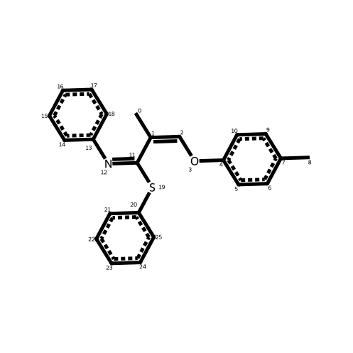 CC(=COc1ccc(C)cc1)C(=Nc1ccccc1)Sc1ccccc1